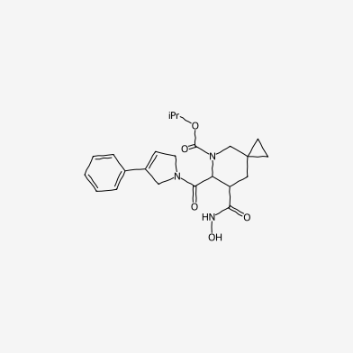 CC(C)OC(=O)N1CC2(CC2)CC(C(=O)NO)C1C(=O)N1CC=C(c2ccccc2)C1